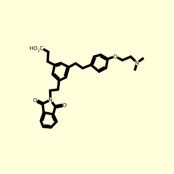 CN(C)CCOc1ccc(CCc2cc(CCC(=O)O)cc(CCN3C(=O)c4ccccc4C3=O)c2)cc1